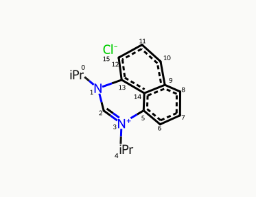 CC(C)N1C=[N+](C(C)C)c2cccc3cccc1c23.[Cl-]